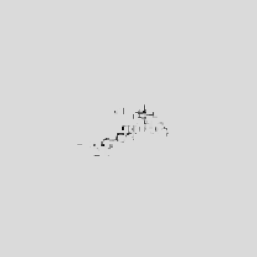 CN(C)c1ccc(-c2ccc3c(=O)n(CCC(C)(C(=O)NOC4CCCCO4)S(C)(=O)=O)ccc3c2)cn1.Cl